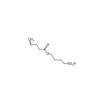 C=CCCC(=O)OCCCCS(=O)(=O)O